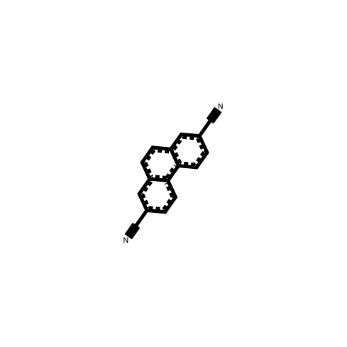 N#Cc1ccc2c(ccc3cc(C#N)ccc32)c1